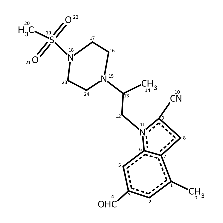 Cc1cc(C=O)cc2c1cc(C#N)n2CC(C)N1CCN(S(C)(=O)=O)CC1